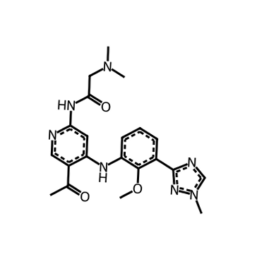 COc1c(Nc2cc(NC(=O)CN(C)C)ncc2C(C)=O)cccc1-c1ncn(C)n1